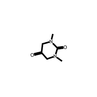 CN1CC(=O)CN(C)C1=O